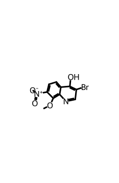 COc1c([N+](=O)[O-])ccc2c(O)c(Br)cnc12